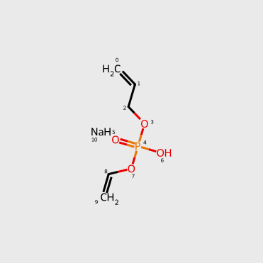 C=CCOP(=O)(O)OC=C.[NaH]